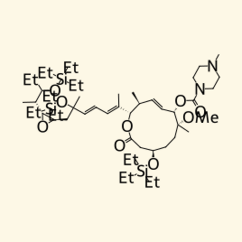 CCC(O[Si](CC)(CC)CC)C(C)[C@H]1O[C@@H]1CC(C)(/C=C/C=C(\C)[C@H]1OC(=O)C[C@H](O[Si](CC)(CC)CC)CC[C@@](C)(OC)[C@@H](OC(=O)N2CCN(C)CC2)/C=C/[C@@H]1C)O[Si](CC)(CC)CC